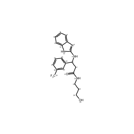 O=C(CC(Nc1nc2ccccc2[nH]1)c1cccc(C(F)(F)F)c1)NCCCO